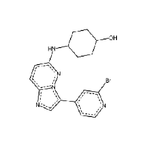 OC1CCC(Nc2ccc3ncc(-c4ccnc(Br)c4)n3n2)CC1